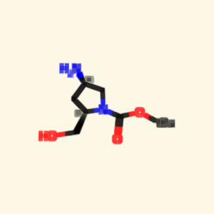 CC(C)(C)OC(=O)N1C[C@H](N)C[C@@H]1CO